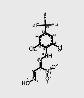 O=[N+]([O-])C(C=NO)=NNc1c(Cl)cc(C(F)(F)F)cc1Cl